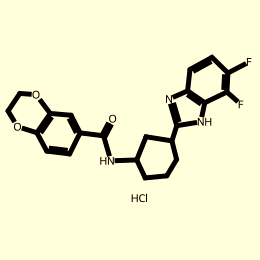 Cl.O=C(NC1CCCC(c2nc3ccc(F)c(F)c3[nH]2)C1)c1ccc2c(c1)OCCO2